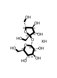 OC[C@H]1O[C@@](CO)(O[C@H]2O[C@H](CO)[C@@H](O)[C@H](O)[C@H]2O)[C@@H](O)[C@@H]1O.[KH]